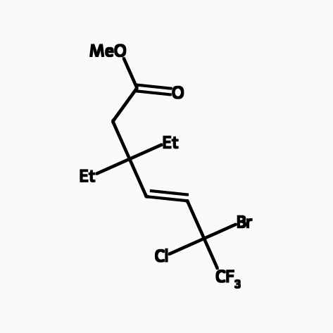 CCC(C=CC(Cl)(Br)C(F)(F)F)(CC)CC(=O)OC